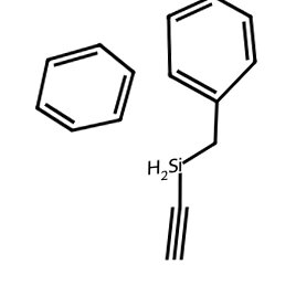 C#C[SiH2]Cc1ccccc1.c1ccccc1